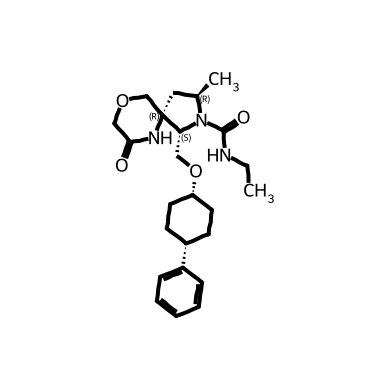 CCNC(=O)N1[C@H](C)C[C@]2(COCC(=O)N2)[C@H]1CO[C@H]1CC[C@@H](c2ccccc2)CC1